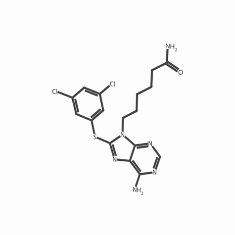 NC(=O)CCCCCn1c(Sc2cc(Cl)cc(Cl)c2)nc2c(N)ncnc21